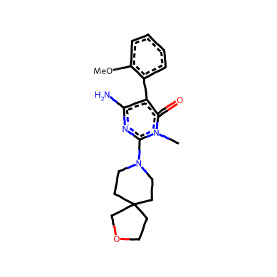 COc1ccccc1-c1c(N)nc(N2CCC3(CCOC3)CC2)n(C)c1=O